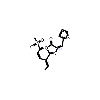 C=C(/C=C\C(=C/C)C1=N/C(=C/c2cccs2)C(=O)O1)S(C)(=O)=O